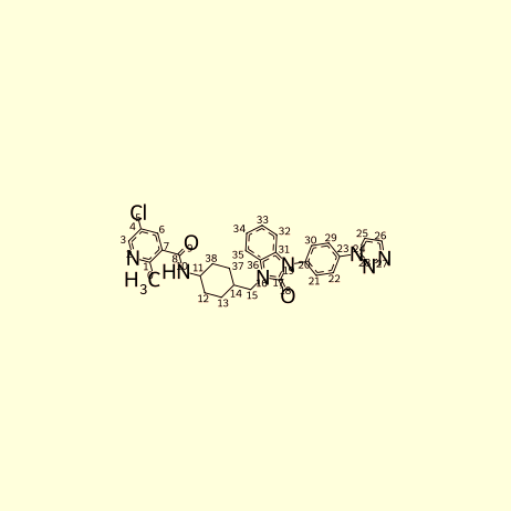 Cc1ncc(Cl)cc1C(=O)NC1CCC(Cn2c(=O)n(-c3ccc(-n4ccnn4)cc3)c3ccccc32)CC1